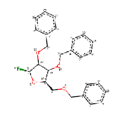 F[C@@H]1O[C@H](COCc2ccccc2)C(OCc2ccccc2)C1OCc1ccccc1